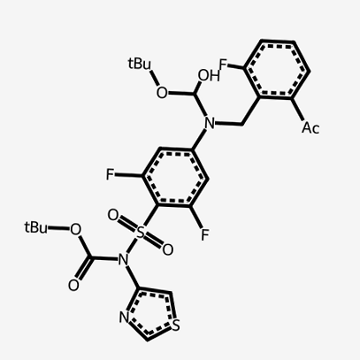 CC(=O)c1cccc(F)c1CN(c1cc(F)c(S(=O)(=O)N(C(=O)OC(C)(C)C)c2cscn2)c(F)c1)C(O)OC(C)(C)C